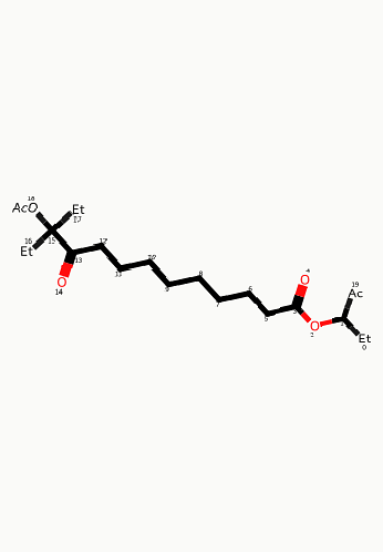 CCC(OC(=O)CCCCCCCCC(=O)C(CC)(CC)OC(C)=O)C(C)=O